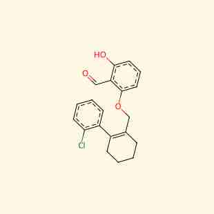 O=Cc1c(O)cccc1OCC1=C(c2ccccc2Cl)CCCC1